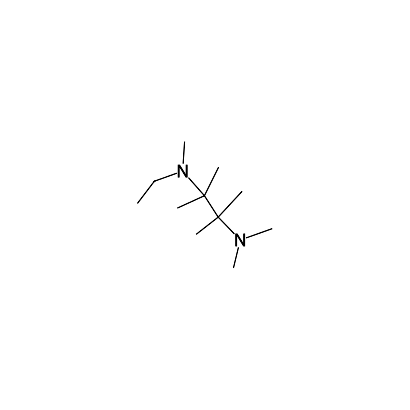 CCN(C)C(C)(C)C(C)(C)N(C)C